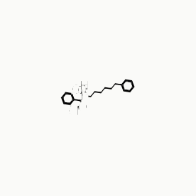 O=C(c1c(Cl)cccc1Cl)[PH](=O)CCCCCCc1ccccc1